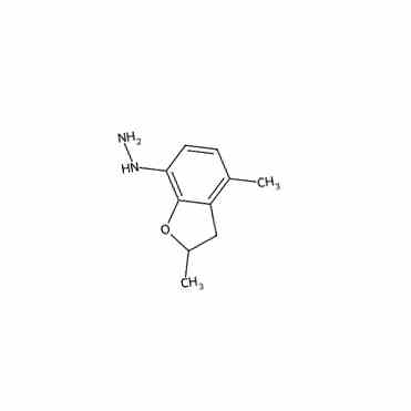 Cc1ccc(NN)c2c1CC(C)O2